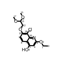 CCOc1cc(O)c2ccc(OCC(OC)OC)c(Cl)c2n1